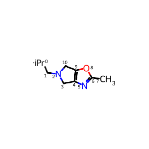 C[C](C)CN1Cc2nc(C)oc2C1